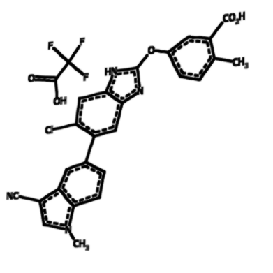 Cc1ccc(Oc2nc3cc(-c4ccc5c(c4)c(C#N)cn5C)c(Cl)cc3[nH]2)cc1C(=O)O.O=C(O)C(F)(F)F